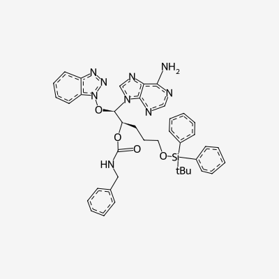 CC(C)(C)[Si](OCCC[C@@H](OC(=O)NCc1ccccc1)[C@@H](On1nnc2ccccc21)n1cnc2c(N)ncnc21)(c1ccccc1)c1ccccc1